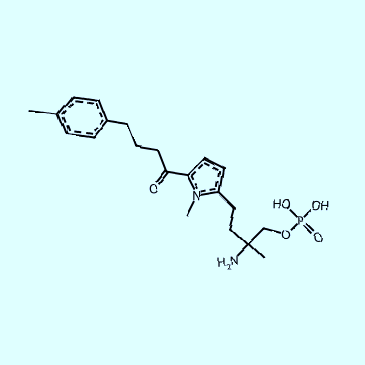 Cc1ccc(CCCC(=O)c2ccc(CCC(C)(N)COP(=O)(O)O)n2C)cc1